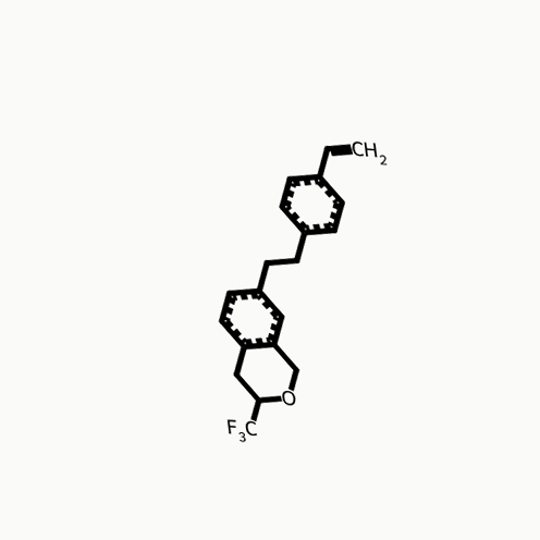 C=Cc1ccc(CCc2ccc3c(c2)COC(C(F)(F)F)C3)cc1